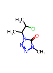 CC(Cl)C(C)n1nnn(C)c1=O